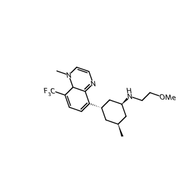 COCCN[C@H]1C[C@@H](C)C[C@H](C2=CC=C(C(F)(F)F)C3C2=NC=CN3C)C1